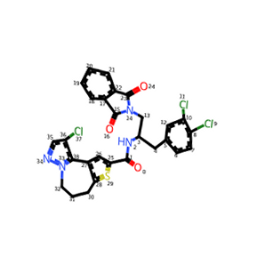 O=C(NC(Cc1ccc(Cl)c(Cl)c1)CN1C(=O)c2ccccc2C1=O)c1cc2c(s1)CCCn1ncc(Cl)c1-2